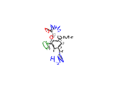 COc1cc(CN)cc(Cl)c1OCC(N)=O